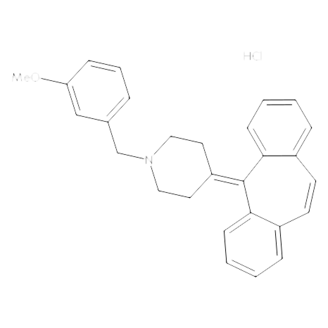 COc1cccc(CN2CCC(=C3c4ccccc4C=Cc4ccccc43)CC2)c1.Cl